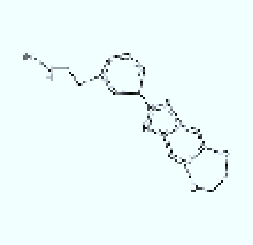 CC(C)NCCc1cccc(-n2nc3cc4c(cc3n2)OCCO4)c1